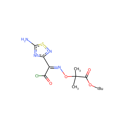 CC(C)(C)OC(=O)C(C)(C)ON=C(C(=O)Cl)c1nsc(N)n1